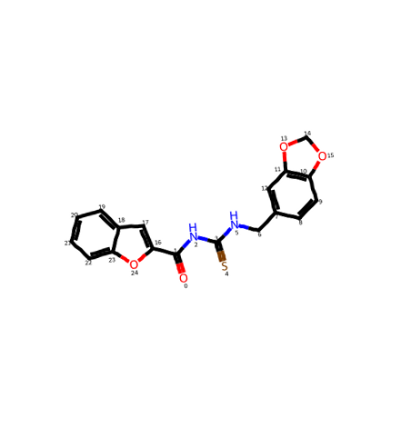 O=C(NC(=S)NCc1ccc2c(c1)OCO2)c1cc2ccccc2o1